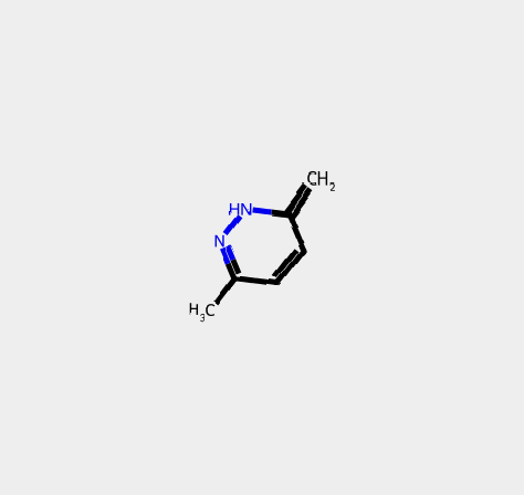 C=C1C=CC(C)=NN1